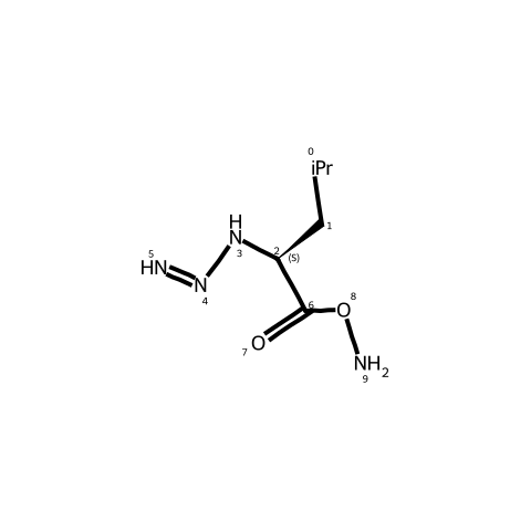 CC(C)C[C@H](NN=N)C(=O)ON